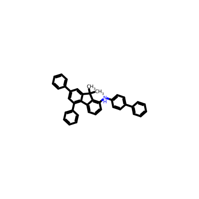 CC1(C)c2cc(-c3ccccc3)cc(-c3ccccc3)c2-c2cccc(Nc3ccc(-c4ccccc4)cc3)c21